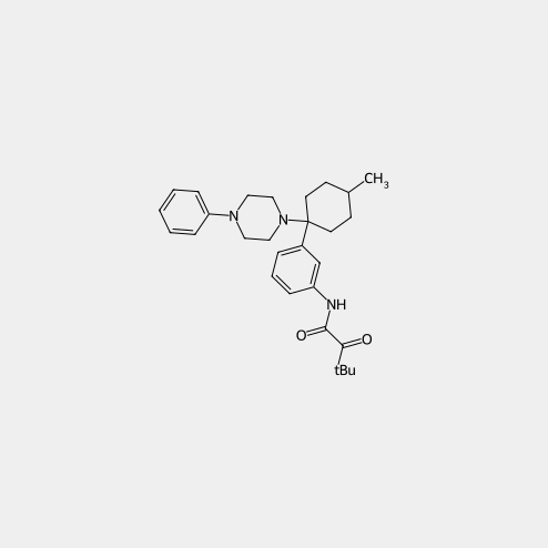 CC1CCC(c2cccc(NC(=O)C(=O)C(C)(C)C)c2)(N2CCN(c3ccccc3)CC2)CC1